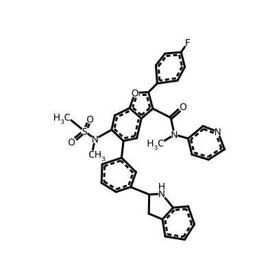 CN(C(=O)c1c(-c2ccc(F)cc2)oc2cc(N(C)S(C)(=O)=O)c(-c3cccc(C4Cc5ccccc5N4)c3)cc12)c1cccnc1